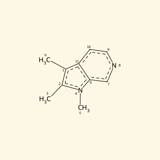 Cc1c(C)n(C)c2cnccc12